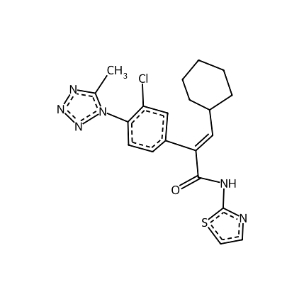 Cc1nnnn1-c1ccc(/C(=C\C2CCCCC2)C(=O)Nc2nccs2)cc1Cl